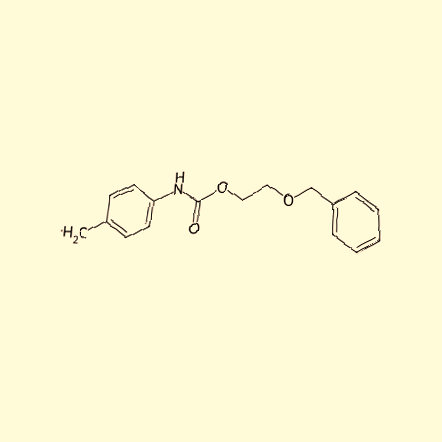 [CH2]c1ccc(NC(=O)OCCOCc2ccccc2)cc1